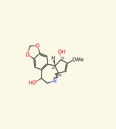 COC1=C[C@]23CCCN2CC(O)c2cc4c(cc2[C@@H]3[C@@H]1O)OCO4